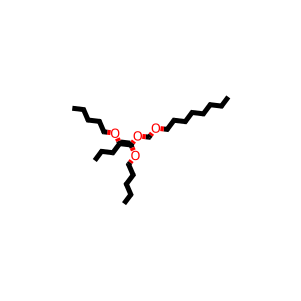 CCCCCCCCOCOC(OCCCCC)=C(CCC)OCCCCC